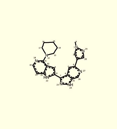 Cn1cc(-c2cc3c(-c4cc5c(N6CCCCC6)nccc5[nH]4)n[nH]c3cn2)cn1